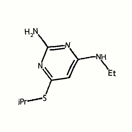 CCNc1cc(SC(C)C)nc(N)n1